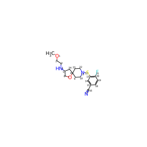 COCCNC1COC2(CCN(Sc3cc(C#N)ccc3F)CC2)C1